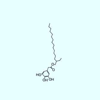 CCCCCCCCCCCCCCC(CC)COC(=O)Cc1cc(O)c(O)c(O)c1